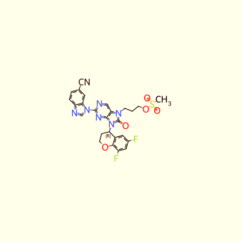 CS(=O)(=O)OCCCn1c(=O)n([C@@H]2CCOc3c(F)cc(F)cc32)c2nc(-n3cnc4ccc(C#N)cc43)ncc21